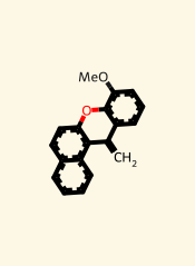 C=C1c2cccc(OC)c2Oc2ccc3ccccc3c21